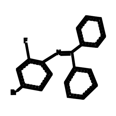 Fc1cc(Br)ccc1N=C(c1ccccc1)c1ccccc1